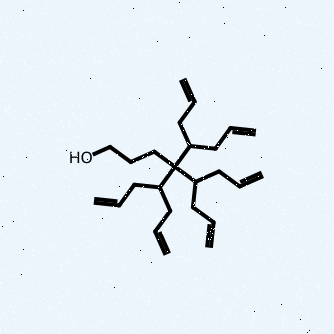 C=CCC(CC=C)C(CCCO)(C(CC=C)CC=C)C(CC=C)CC=C